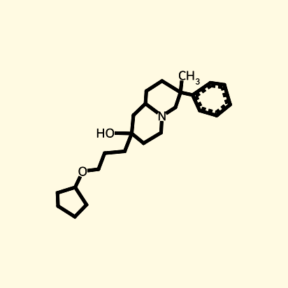 CC1(c2ccccc2)CCC2CC(O)(CCCOC3CCCC3)CCN2C1